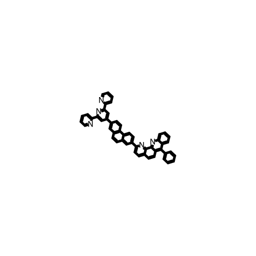 c1ccc(-c2c3ccccc3nc3c2ccc2ccc(-c4ccc5c(ccc6cc(-c7cc(-c8ccccn8)nc(-c8ccccn8)c7)ccc65)c4)nc23)cc1